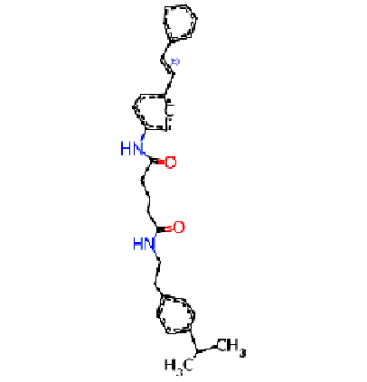 CC(C)c1ccc(CCNC(=O)CCCC(=O)Nc2ccc(/C=C/c3ccccc3)cc2)cc1